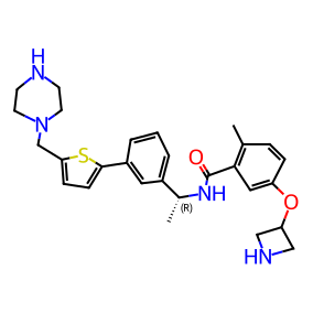 Cc1ccc(OC2CNC2)cc1C(=O)N[C@H](C)c1cccc(-c2ccc(CN3CCNCC3)s2)c1